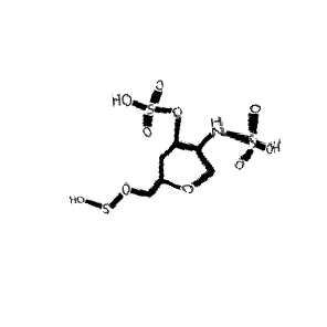 O=S(=O)(O)NC1COC(COSO)CC1OS(=O)(=O)O